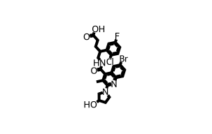 Cc1c(N2CCC(O)C2)nc2ccc(Br)cc2c1C(=O)NCC(CCC(=O)O)c1cc(F)ccc1Cl